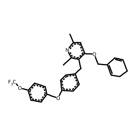 Cc1cc(OCC2=CCCC=C2)c(Cc2ccc(Oc3ccc(OC(F)(F)F)cc3)cc2)c(C)n1